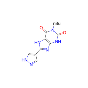 CCCCn1c(=O)[nH]c2nc(-c3cn[nH]c3)[nH]c2c1=O